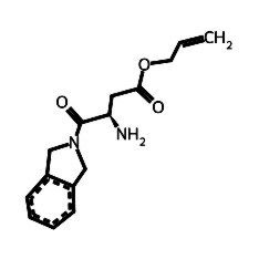 C=CCOC(=O)C[C@@H](N)C(=O)N1Cc2ccccc2C1